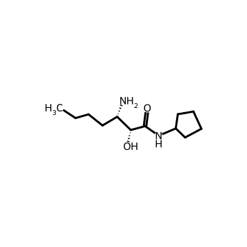 CCCC[C@H](N)[C@@H](O)C(=O)NC1CCCC1